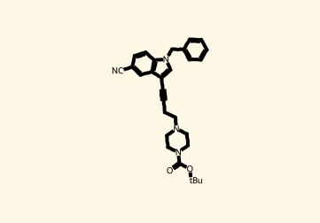 CC(C)(C)OC(=O)N1CCN(CCC#Cc2cn(Cc3ccccc3)c3ccc(C#N)cc23)CC1